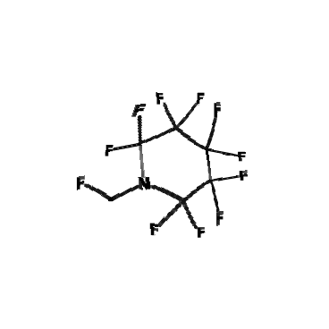 FCN1C(F)(F)C(F)(F)C(F)(F)C(F)(F)C1(F)F